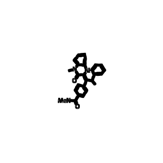 CNC(=O)c1ccc(C(=C2Nc3ccccc3N(C)C2=O)C(C)c2ccccc2)cc1